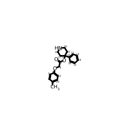 Cc1ccc(OCC(=O)OC2(c3ccccc3)CCNCC2)cc1